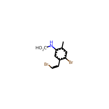 Cc1cc(Br)c(/C=C\Br)cc1NC(=O)O